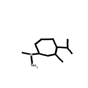 CC(C)C1CCCC(N(C)N)CC1C